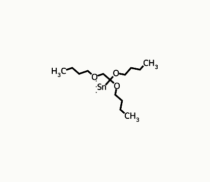 CCCCOC[C]([Sn])(OCCCC)OCCCC